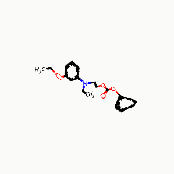 CCOc1cccc(N(CC)CCOC(=O)Oc2ccccc2)c1